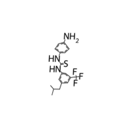 CC(C)Cc1cc(NC(=S)Nc2ccc(N)cc2)cc(C(F)(F)F)c1